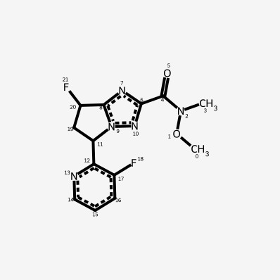 CON(C)C(=O)c1nc2n(n1)C(c1ncccc1F)CC2F